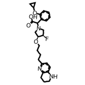 O=C(O)C(c1ccccc1OC1CC1)N1C[C@@H](F)[C@@H](OCCCCc2ccc3c(n2)CCCN3)C1